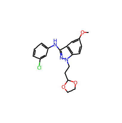 COc1ccc2c(c1)c(Nc1cccc(Cl)c1)nn2CCC1OCCO1